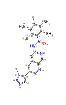 Bc1c(B)c(C(=O)Nc2cc3cc(-c4cncn4C)cnc3cn2)c(B)c(B)c1C